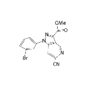 COC(=O)c1nn(-c2cccc(Br)c2)c2cc(C#N)ncc12